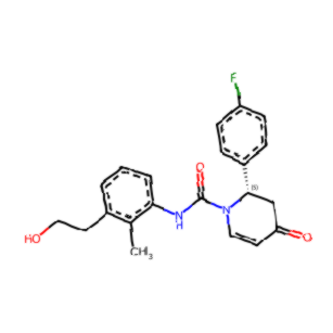 Cc1c(CCO)cccc1NC(=O)N1C=CC(=O)C[C@H]1c1ccc(F)cc1